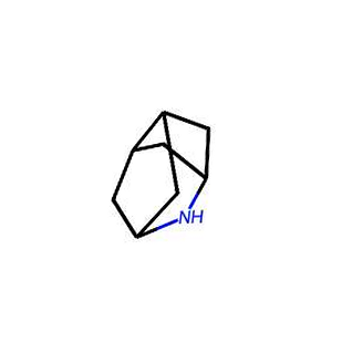 C1C2CC3CC(CC13)N2